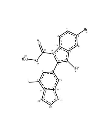 Cc1cc(-c2c(C(C)C)c3cc(Br)ccc3n2C(=O)OC(C)(C)C)cn2ncnc12